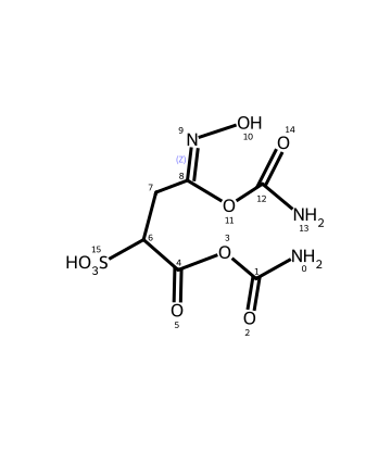 NC(=O)OC(=O)C(C/C(=N/O)OC(N)=O)S(=O)(=O)O